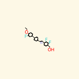 CCOc1ccc(-c2ccc(/C=C/c3ccc(CO)c(F)c3F)cc2)cc1F